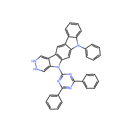 C1=c2c(n(-c3nc(-c4ccccc4)nc(-c4ccccc4)n3)c3cc4c(cc23)c2ccccc2n4-c2ccccc2)=CNN1